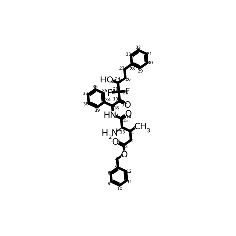 CC(CC(=O)OCc1ccccc1)[C@H](N)C(=O)NC(C(=O)C(F)(F)C(O)CCc1ccccc1)c1ccccc1